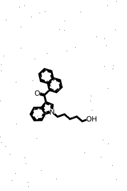 O=C(c1cccc2ccccc12)c1cn(CCCCCO)c2ccccc12